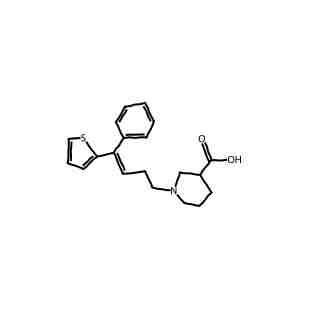 O=C(O)C1CCCN(CC/C=C(\c2ccccc2)c2cccs2)C1